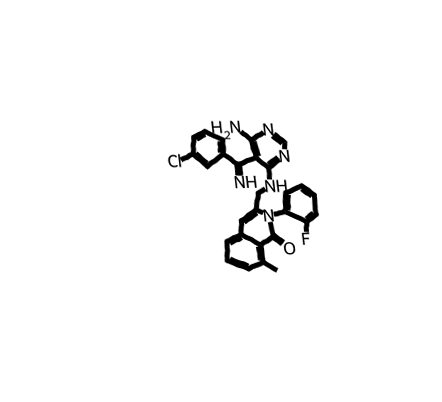 Cc1cccc2cc(CNc3ncnc(N)c3C(=N)c3cccc(Cl)c3)n(-c3ccccc3F)c(=O)c12